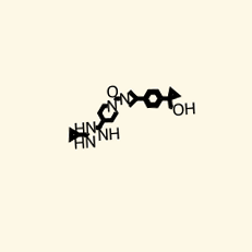 N=C(NC(=N)C1CCN(C(=O)N2CC(c3ccc(C4(CO)CC4)cc3)C2)CC1)C1CC1